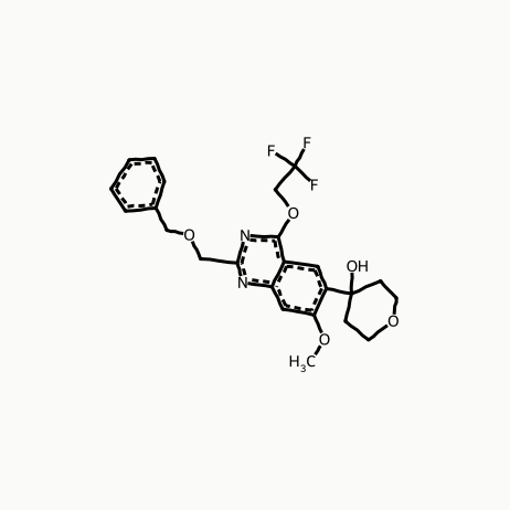 COc1cc2nc(COCc3ccccc3)nc(OCC(F)(F)F)c2cc1C1(O)CCOCC1